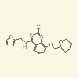 Clc1nc(NCc2ccco2)c2cccc(OCC3CCCCO3)c2n1